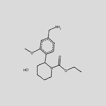 CCOC(=O)N1CCCCC1c1ccc(CN)cc1OC.Cl